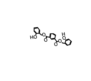 O=C(OCc1ccccc1O)c1cccc(C(=O)OCc2ccccc2O)c1